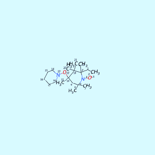 CCC1(C)N([O])C(C)(C)CC(C)(ON2CCCCC2)C1(C)C